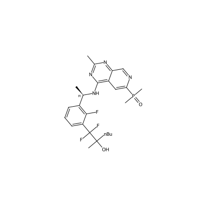 CCCCC(C)(O)C(F)(F)c1cccc([C@@H](C)Nc2nc(C)nc3cnc(P(C)(C)=O)cc23)c1F